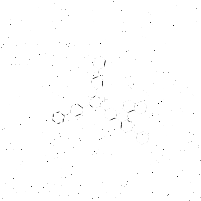 C1=CC(C2=CCC(C3=NC(C4=CCC(c5ccccc5)C=C4)=NC(C4CC=C(C5=CCC(C6CCCCC6)N=C5C5=C6CCCCC6CCC5)CC4)N3)C=C2)CCC1